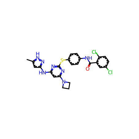 Cc1cc(Nc2cc(N3CCC3)nc(Sc3ccc(NC(=O)c4cc(Cl)ccc4Cl)cc3)n2)n[nH]1